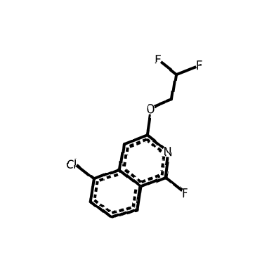 Fc1nc(OCC(F)F)cc2c(Cl)cccc12